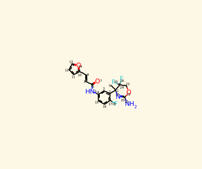 CC1(c2cc(NC(=O)C=Cc3ccco3)ccc2F)N=C(N)OCC1(F)F